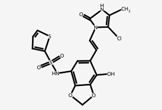 Cc1[nH]c(=O)n(/C=C/c2cc(NS(=O)(=O)c3cccs3)c3c(c2O)OCO3)c1Cl